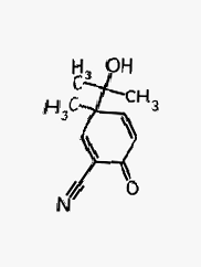 CC(C)(O)C1(C)C=CC(=O)C(C#N)=C1